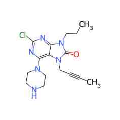 CC#CCn1c(=O)n(CCC)c2nc(Cl)nc(N3CCNCC3)c21